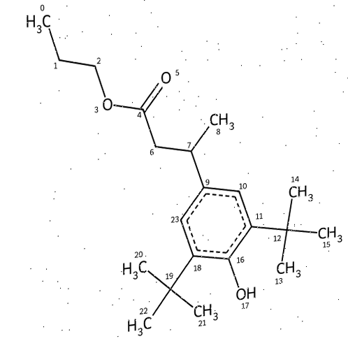 CCCOC(=O)CC(C)c1cc(C(C)(C)C)c(O)c(C(C)(C)C)c1